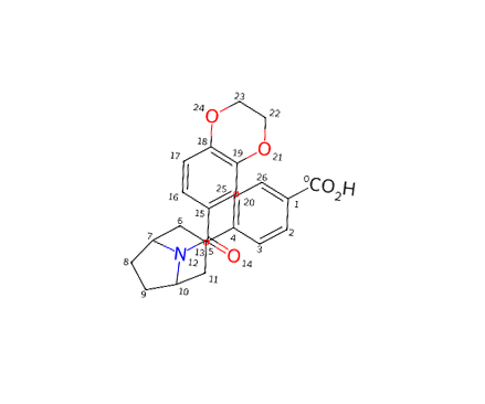 O=C(O)c1ccc(C2CC3CCC(C2)N3C(=O)c2ccc3c(c2)OCCO3)cc1